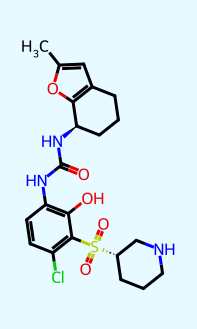 Cc1cc2c(o1)[C@H](NC(=O)Nc1ccc(Cl)c(S(=O)(=O)[C@H]3CCCNC3)c1O)CCC2